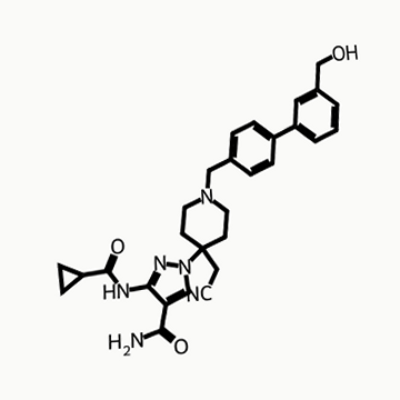 N#CCC1(n2cc(C(N)=O)c(NC(=O)C3CC3)n2)CCN(Cc2ccc(-c3cccc(CO)c3)cc2)CC1